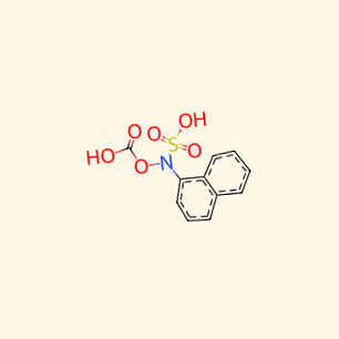 O=C(O)ON(c1cccc2ccccc12)S(=O)(=O)O